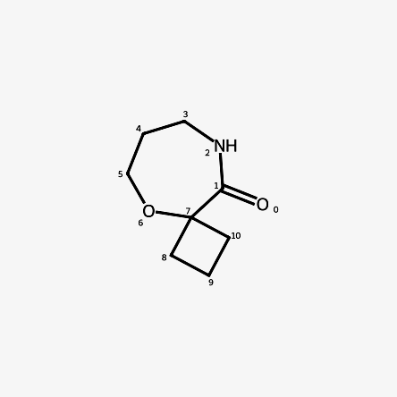 O=C1NCCCOC12CCC2